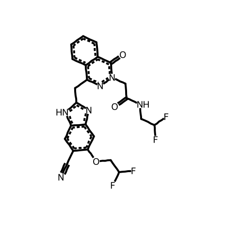 N#Cc1cc2[nH]c(Cc3nn(CC(=O)NCC(F)F)c(=O)c4ccccc34)nc2cc1OCC(F)F